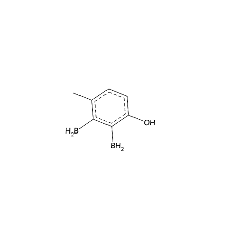 Bc1c(C)ccc(O)c1B